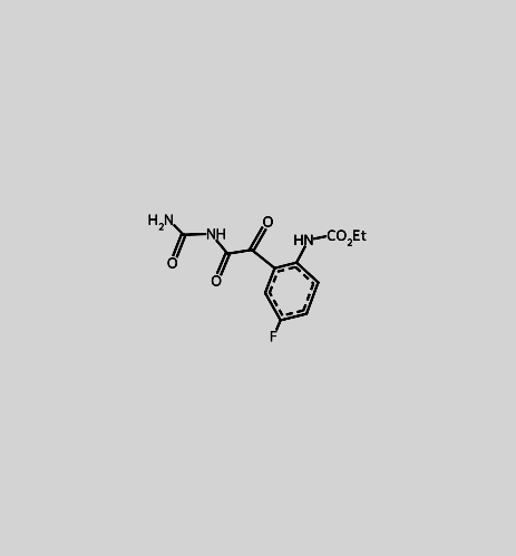 CCOC(=O)Nc1ccc(F)cc1C(=O)C(=O)NC(N)=O